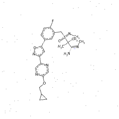 CN=S(=O)(Cc1cc(-c2cc(-c3cnc(OCC4CC4)cn3)no2)ccc1F)C(C)(C)/C(N)=N\C